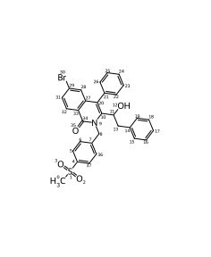 CS(=O)(=O)c1ccc(Cn2c(C(O)Cc3ccccc3)c(-c3ccccc3)c3cc(Br)ccc3c2=O)cc1